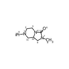 CC(C)N1CCN2C(=O)N(C)CC2C1